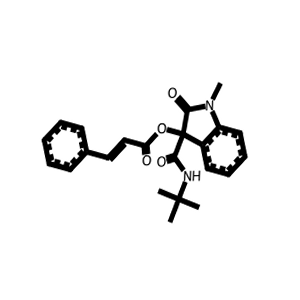 CN1C(=O)C(OC(=O)C=Cc2ccccc2)(C(=O)NC(C)(C)C)c2ccccc21